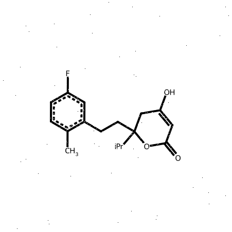 Cc1ccc(F)cc1CCC1(C(C)C)CC(O)=CC(=O)O1